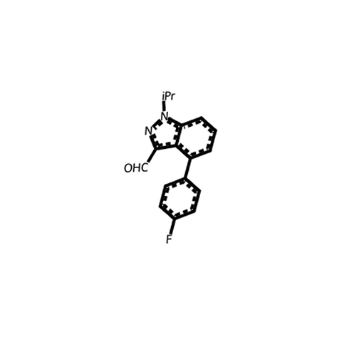 CC(C)n1nc(C=O)c2c(-c3ccc(F)cc3)cccc21